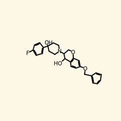 OC1c2ccc(OCc3ccccc3)cc2OCC1N1CCC(O)(c2ccc(F)cc2)CC1